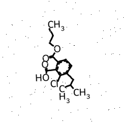 CCCCOC(=O)c1ccc(CC(C)C)c(Cl)c1C(=O)O